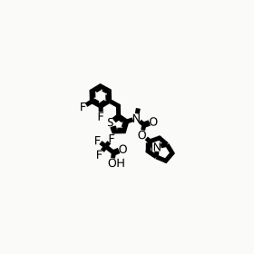 CN(C(=O)OC1CC2CCC(C1)N2)c1ccsc1Cc1cccc(F)c1F.O=C(O)C(F)(F)F